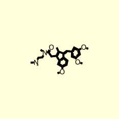 COc1cc(/C=C2/C(C)=C(CC(=O)N(C)CCN(C)C)c3cc(OC)ccc32)cc(OC)c1